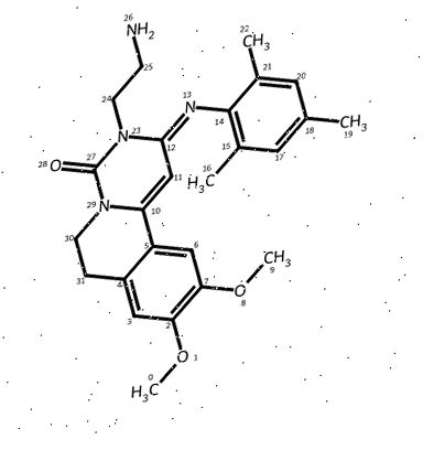 COc1cc2c(cc1OC)-c1c/c(=N\c3c(C)cc(C)cc3C)n(CCN)c(=O)n1CC2